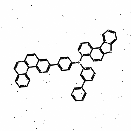 c1ccc(-c2cccc(N(c3ccc(-c4ccc5c(ccc6ccc7ccccc7c65)c4)cc3)c3cccc4c3ccc3oc5ccccc5c34)c2)cc1